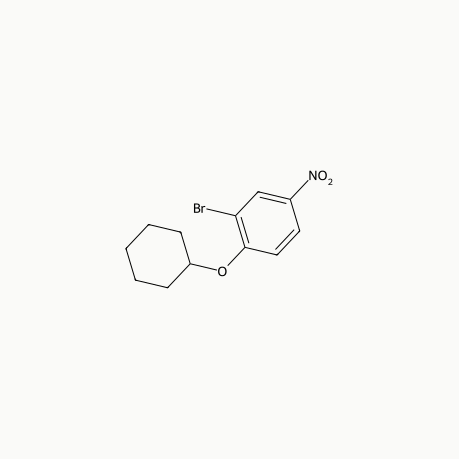 O=[N+]([O-])c1ccc(OC2CCCCC2)c(Br)c1